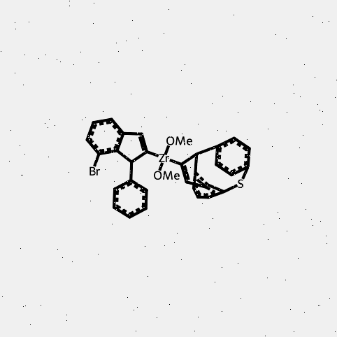 C[O][Zr]([O]C)([C]1=Cc2c3cccc2C1c1ccc(cc1)S3)[C]1=Cc2cccc(Br)c2C1c1ccccc1